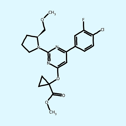 COC[C@@H]1CCCN1c1nc(OC2(C(=O)OC)CC2)cc(-c2ccc(Cl)c(F)c2)n1